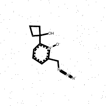 [N-]=[N+]=NCc1cccc(C2(O)CCC2)[n+]1[O-]